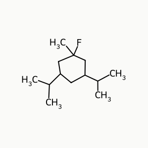 CC(C)C1CC(C(C)C)CC(C)(F)C1